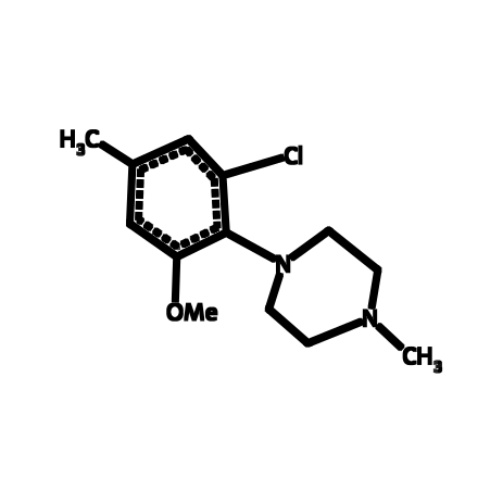 COc1cc(C)cc(Cl)c1N1CCN(C)CC1